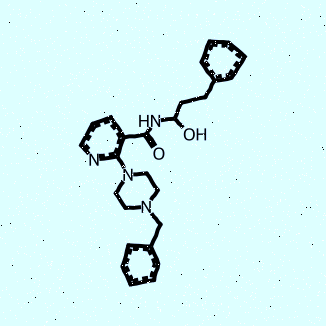 O=C(NC(O)CCc1ccccc1)c1cccnc1N1CCN(Cc2ccccc2)CC1